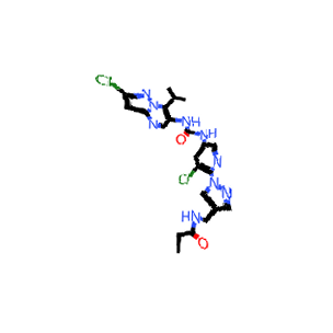 CCC(=O)NCc1cnn(-c2ncc(NC(=O)Nc3cnc4cc(Cl)nn4c3C(C)C)cc2Cl)c1